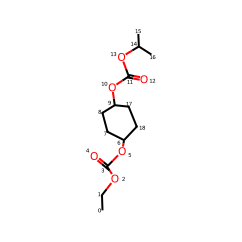 CCOC(=O)OC1CCC(OC(=O)OC(C)C)CC1